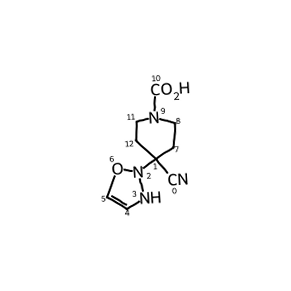 N#CC1(N2NC=CO2)CCN(C(=O)O)CC1